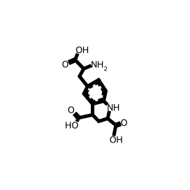 NC(Cc1ccc2c(c1)C(C(=O)O)CC(C(=O)O)N2)C(=O)O